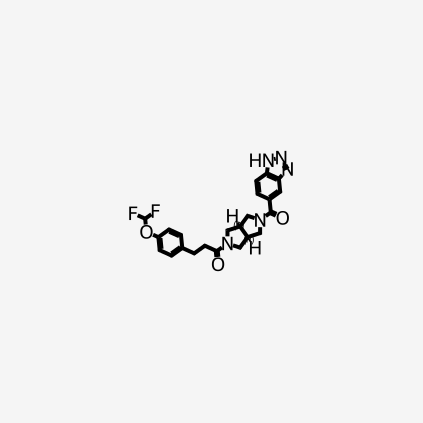 O=C(CCc1ccc(OC(F)F)cc1)N1C[C@@H]2CN(C(=O)c3ccc4[nH]nnc4c3)C[C@H]2C1